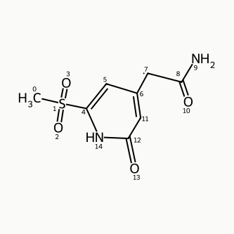 CS(=O)(=O)c1cc([CH]C(N)=O)cc(=O)[nH]1